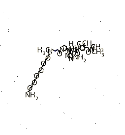 Cc1c(CC(=O)N(C)C)ccc(NC(=O)c2nn([C@@H]3CCCN(C(=O)/C=C/CN(C)CCOCCOCCOCCOCCOCCOCCN)C3)c3ncnc(N)c23)c1C